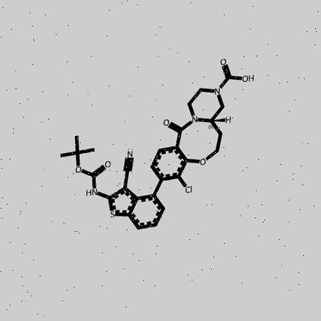 CC(C)(C)OC(=O)Nc1sc2cccc(-c3ccc4c(c3Cl)OCC[C@H]3CN(C(=O)O)CCN3C4=O)c2c1C#N